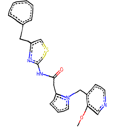 COc1cnccc1Cn1cccc1C(=O)Nc1nc(Cc2ccccc2)cs1